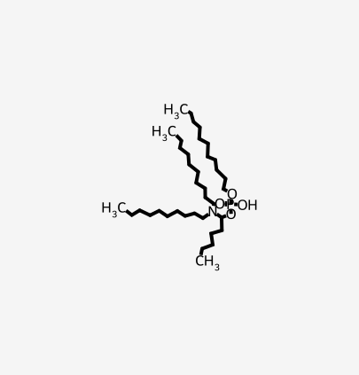 CCCCCCCCCCCOP(=O)(O)OC(CCCCC)N(CCCCCCCCCC)CCCCCCCCCC